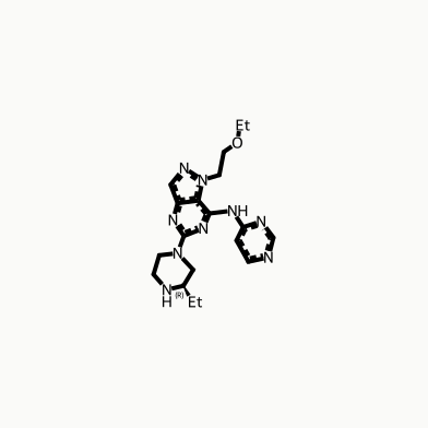 CCOCCn1ncc2nc(N3CCN[C@H](CC)C3)nc(Nc3ccncn3)c21